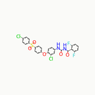 O=C(NC(=O)c1c(F)cccc1F)Nc1ccc(Oc2ccc(S(=O)(=O)c3ccc(Cl)cc3)cc2)c(Cl)c1